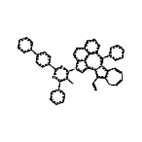 C=Cc1c2c(c3c(-c4ccccc4)c4cccc5ccc6c(c(cn6-c6nc(-c7ccc(-c8ccccc8)cc7)nc(-c7ccccc7)c6C)c1-3)c54)C=CC=CC2